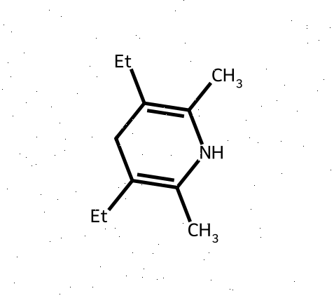 CCC1=C(C)NC(C)=C(CC)C1